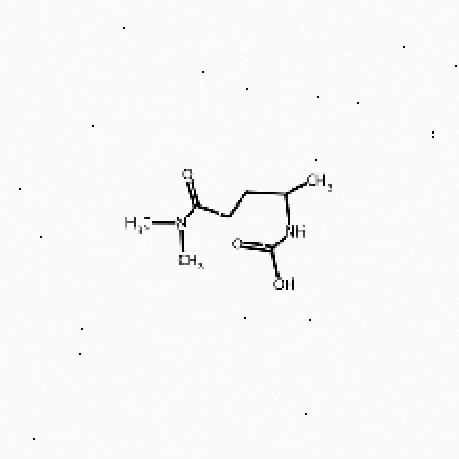 CC(CCC(=O)N(C)C)NC(=O)O